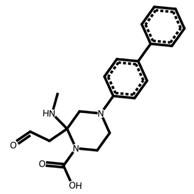 CNC1(CC=O)CN(c2ccc(-c3ccccc3)cc2)CCN1C(=O)O